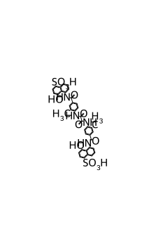 Cc1cc(C(=O)Nc2cccc3c(S(=O)(=O)O)ccc(O)c23)ccc1NC(=O)C(=O)Nc1ccc(C(=O)Nc2cccc3c(S(=O)(=O)O)ccc(O)c23)cc1C